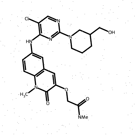 CNC(=O)COc1cc2cc(Nc3nc(N4CCCC(CO)C4)ncc3Cl)ccc2n(C)c1=O